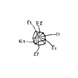 CC[C]12[CH]3[CH]4[C]5(CC)[CH]1[Fe]34251678[CH]2[C]1(CC)[C]6(CC)[C]7(CC)[C]28CC